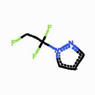 FCC(F)(F)n1c[c]cn1